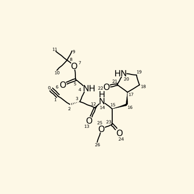 C#CC[C@H](NC(=O)OC(C)(C)C)C(=O)N[C@@H](C[C@@H]1CCNC1=O)C(=O)OC